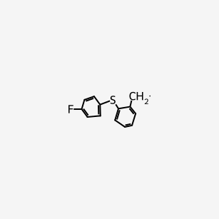 [CH2]c1ccccc1Sc1ccc(F)cc1